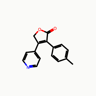 Cc1ccc(C2=C(c3ccncc3)COC2=O)cc1